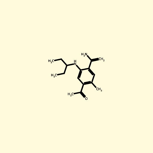 C=C(N)c1cc(C)c(C(C)=O)cc1NC(CC)CC